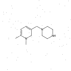 CC1=CC=C(CN2CCNCC2)CN1C